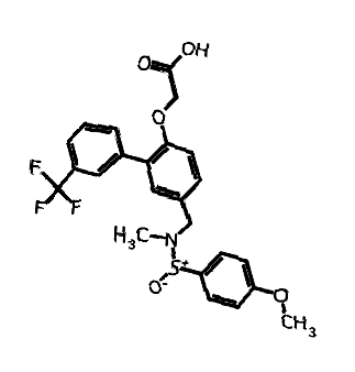 COc1ccc([S+]([O-])N(C)Cc2ccc(OCC(=O)O)c(-c3cccc(C(F)(F)F)c3)c2)cc1